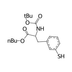 CCCCOC(=O)C(Cc1cccc(S)c1)NC(=O)OC(C)(C)C